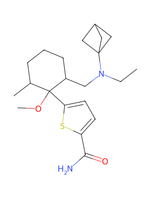 CCN(CC1CCCC(C)C1(OC)c1ccc(C(N)=O)s1)C12CC(C1)C2